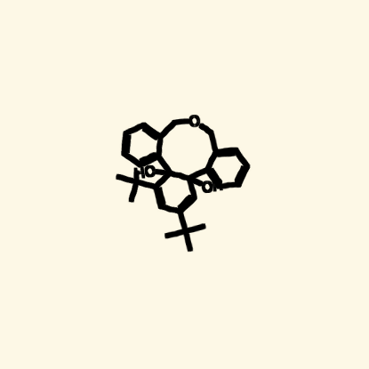 CC(C)(C)C1=CC2(O)c3ccccc3COCc3ccccc3C2(O)C(C(C)(C)C)=C1